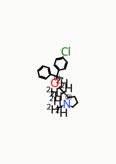 [2H]C([2H])([2H])N1CCC[C@@H]1C([2H])([2H])C([2H])([2H])O[C@](C)(c1ccccc1)c1ccc(Cl)cc1